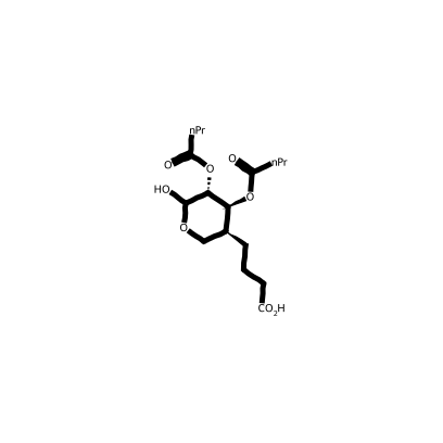 CCCC(=O)O[C@H]1[C@@H](CCCC(=O)O)COC(O)[C@@H]1OC(=O)CCC